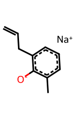 C=CCc1cccc(C)c1[O-].[Na+]